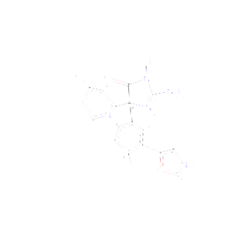 CN1C(=O)C(c2ccc(F)c(-c3cnco3)c2)(c2cc(C(F)(F)F)ccn2)N=C1N